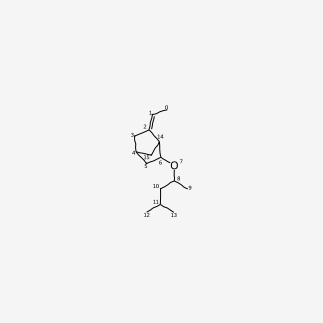 CC=C1CC2CC(OC(C)CC(C)C)C1C2